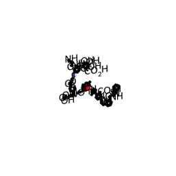 Cc1c(-c2ccc(N3CCc4cccc(C(=O)Nc5nc6ccccc6s5)c4C3)nc2C(=O)O)cnn1CC12CC3(C)CC(C)(C1)CC(OCCN(CCCP(=O)(O)O)C1CCN(C(=O)OC/C=C/c4ccc(O[C@@H]5O[C@H](C(=O)O)[C@@H](O)[C@H](O)[C@H]5O)c(NC(=O)CCN)c4)CC1)(C3)C2